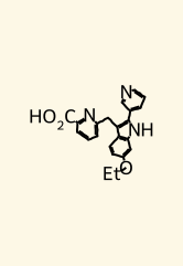 CCOc1ccc2c(Cc3cccc(C(=O)O)n3)c(-c3cccnc3)[nH]c2c1